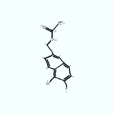 CCc1c(F)ccc2cc(COC(N)=O)ccc12